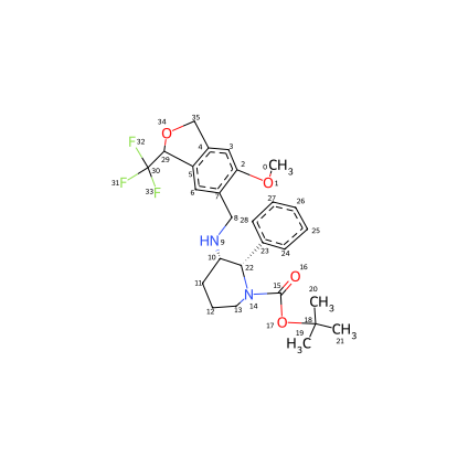 COc1cc2c(cc1CN[C@H]1CCCN(C(=O)OC(C)(C)C)[C@H]1c1ccccc1)C(C(F)(F)F)OC2